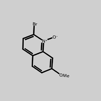 COc1ccc2ccc(Br)[n+]([O-])c2c1